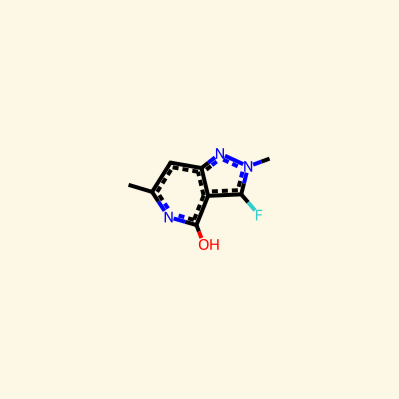 Cc1cc2nn(C)c(F)c2c(O)n1